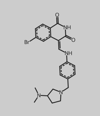 CN(C)C1CCN(Cc2ccc(N/C=C3\C(=O)NC(=O)c4ccc(Br)cc43)cc2)C1